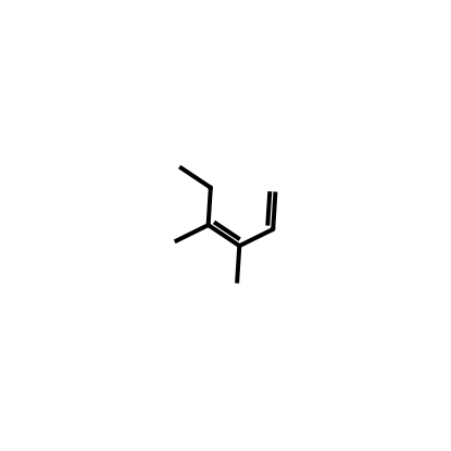 C=CC(C)=C(C)CC